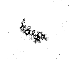 COCc1cnn(-c2ncc(NC(=O)N3CC(C)(C(F)(F)F)c4c3cnc3cc(Cl)nn43)cc2Cl)n1